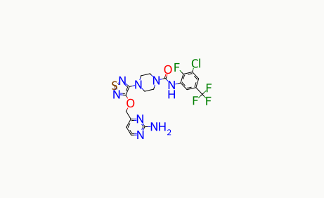 Nc1nccc(COc2nsnc2N2CCN(C(=O)Nc3cc(C(F)(F)F)cc(Cl)c3F)CC2)n1